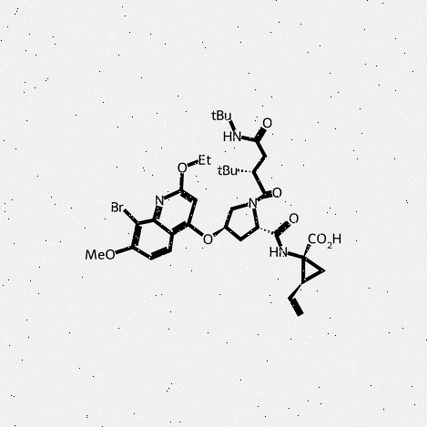 C=C[C@@H]1C[C@]1(NC(=O)[C@@H]1C[C@@H](Oc2cc(OCC)nc3c(Br)c(OC)ccc23)CN1C(=O)[C@@H](CC(=O)NC(C)(C)C)C(C)(C)C)C(=O)O